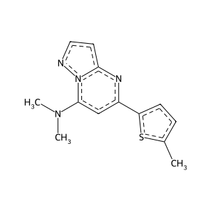 Cc1ccc(-c2cc(N(C)C)n3nccc3n2)s1